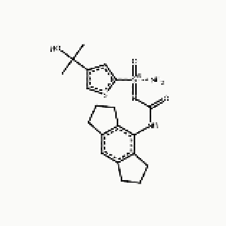 CC(C)(O)c1csc([S@@](N)(=O)=NC(=O)Nc2c3c(cc4c2CCC4)CCC3)c1